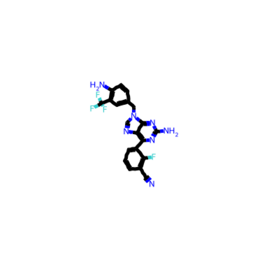 N#Cc1cccc(-c2nc(N)nc3c2ncn3Cc2ccc(N)c(C(F)(F)F)c2)c1F